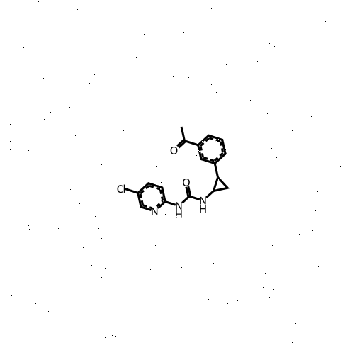 CC(=O)c1cccc(C2CC2NC(=O)Nc2ccc(Cl)cn2)c1